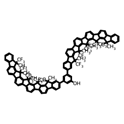 CC1(C(F)(F)F)c2ccccc2-c2ccc3c(c21)C(C)(C(F)(F)F)c1c-3ccc2c1C(C)(C(F)(F)F)c1c-2ccc2c1C(C)(C(F)(F)F)c1c-2ccc2c1C(C)(C(F)(F)F)c1cc(-c3cc(O)cc(-c4ccc5c(c4)C(C)(C(F)(F)F)c4c-5ccc5c4C(C)(C(F)(F)F)c4c-5ccc5c4C(C)(C(F)(F)F)c4c-5ccc5c4C(C)(C(F)(F)F)c4c-5ccc5c4C(C)(C(F)(F)F)c4ccccc4-5)c3)ccc1-2